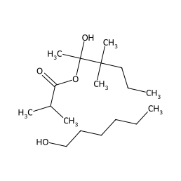 CCCC(C)(C)C(C)(O)OC(=O)C(C)C.CCCCCCO